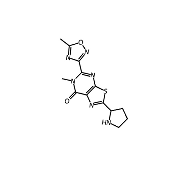 Cc1nc(-c2nc3sc(C4CCCN4)nc3c(=O)n2C)no1